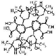 CC1(C)CC(c2cc(-c3cc(C4CC(C)(C)NC(C)(C)C4)c(C(=O)O)c(C(=O)O)c3C3CC(C)(C)NC(C)(C)C3)c(C3CC(C)(C)NC(C)(C)C3)c(C(=O)O)c2C(=O)O)CC(C)(C)N1